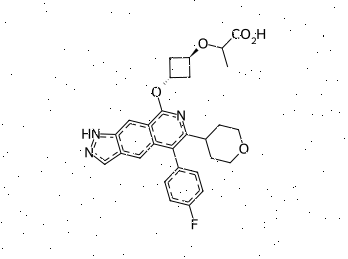 CC(O[C@H]1C[C@H](Oc2nc(C3CCOCC3)c(-c3ccc(F)cc3)c3cc4cn[nH]c4cc23)C1)C(=O)O